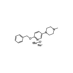 CC(C)(C)[O-].CN1CCN(c2ccc(OCc3ccccc3)nc2)CC1.[Na+]